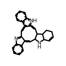 C1=CC2NC3/C=C4\C(=Nc5ccccc54)/C=c4\c([nH]c5ccccc45)=C/C3C2CC1